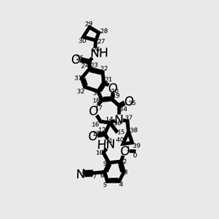 COc1cccc(C#N)c1CNC(=O)C1(C)COc2c(oc3cc(C(=O)NC4CCC4)ccc23)C(=O)N1CC1CC1